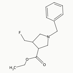 CCOC(=O)C1CN(Cc2ccccc2)CC1CF